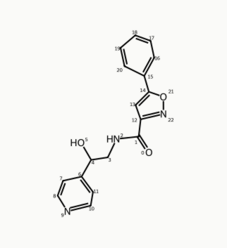 O=C(NCC(O)c1ccncc1)c1cc(-c2ccccc2)on1